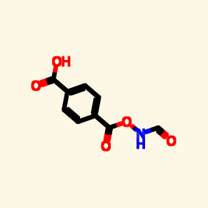 O=CNOC(=O)c1ccc(C(=O)O)cc1